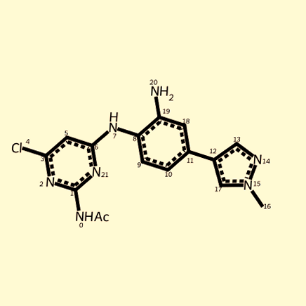 CC(=O)Nc1nc(Cl)cc(Nc2ccc(-c3cnn(C)c3)cc2N)n1